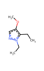 CCc1c(OC)[c]nn1CC